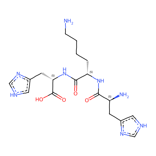 NCCCC[C@H](NC(=O)[C@@H](N)Cc1c[nH]cn1)C(=O)N[C@@H](Cc1c[nH]cn1)C(=O)O